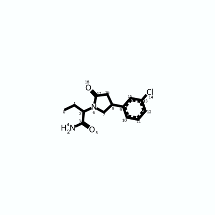 CCC(C(N)=O)N1CC(c2cccc(Cl)c2)CC1=O